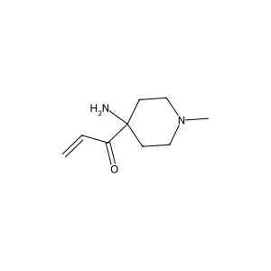 C=CC(=O)C1(N)CCN(C)CC1